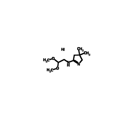 COC(CNC1=NCC(C)(C)C1)OC.I